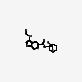 O=CNc1coc2cnc(C(=O)N[C@H]3CN4CCC3CC4)cc12